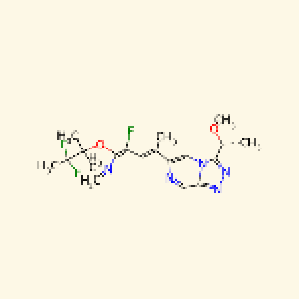 C=N/C(OC(C)(C)C(C)(F)F)=C(F)\C=C(/C)c1cn2c([C@@H](C)OC)nnc2cn1